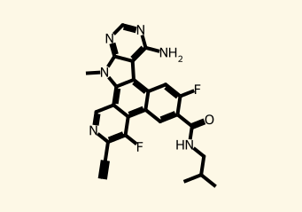 C#Cc1ncc2c(c1F)c1cc(C(=O)NCC(C)C)c(F)cc1c1c3c(N)ncnc3n(C)c21